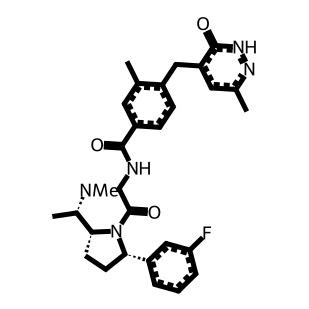 CN[C@@H](C)[C@H]1CC[C@@H](c2cccc(F)c2)N1C(=O)CNC(=O)c1ccc(Cc2cc(C)n[nH]c2=O)c(C)c1